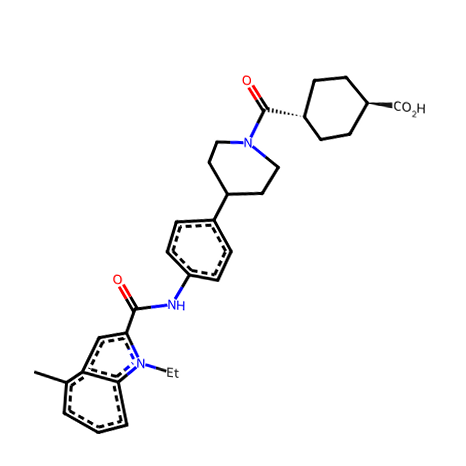 CCn1c(C(=O)Nc2ccc(C3CCN(C(=O)[C@H]4CC[C@H](C(=O)O)CC4)CC3)cc2)cc2c(C)cccc21